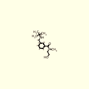 CN(CCO)C(=O)c1cccc(CNC(C)(C)C)c1